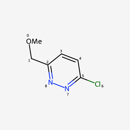 COCc1ccc(Cl)nn1